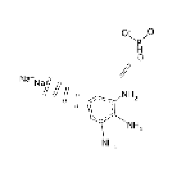 C=C.C=C.C=C.C=C.C=C.Nc1cccc(N)c1N.O=[PH]([O-])[O-].[Na+].[Na+]